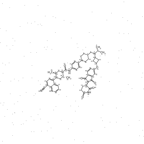 CC(C)N(CC1CCN(c2ccc(NC(=O)N3C[C@H](C)N(c4ccc(C#N)c5ncccc45)C[C@H]3C)cn2)CC1)C1CC(Oc2ccc3c(c2)C(=O)N([C@@H]2CCC(=O)NC2=O)C3=O)C1